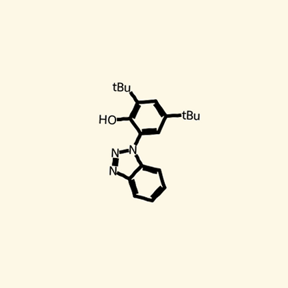 CC(C)(C)c1cc(-n2nnc3ccccc32)c(O)c(C(C)(C)C)c1